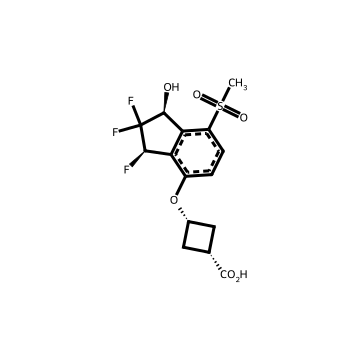 CS(=O)(=O)c1ccc(O[C@H]2C[C@@H](C(=O)O)C2)c2c1[C@H](O)C(F)(F)[C@@H]2F